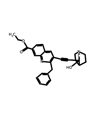 CCOC(=O)c1ccc2cc(C#CC3(O)CN4CCC3CC4)c(Cc3ccccc3)nc2c1